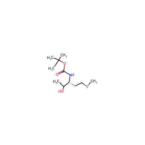 CSCC[C@@H](NC(=O)OC(C)(C)C)C(C)O